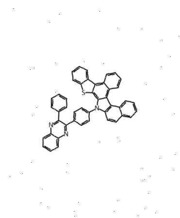 c1ccc(-c2nc3ccccc3nc2-c2ccc(-n3c4ccc5ccccc5c4c4c5ccccc5c5c6ccccc6sc5c43)cc2)cc1